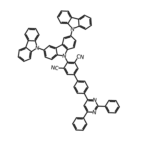 N#Cc1cc(-c2ccc(-c3cc(-c4ccccc4)nc(-c4ccccc4)n3)cc2)cc(C#N)c1-n1c2ccc(-n3c4ccccc4c4ccccc43)cc2c2cc(-n3c4ccccc4c4ccccc43)ccc21